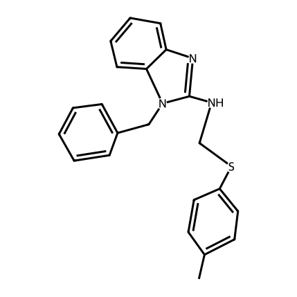 Cc1ccc(SCNc2nc3ccccc3n2Cc2ccccc2)cc1